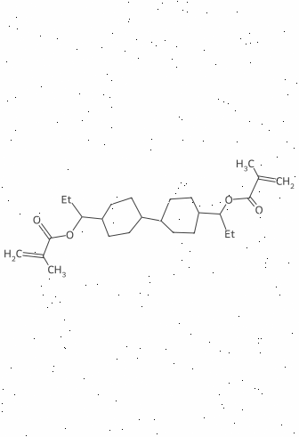 C=C(C)C(=O)OC(CC)C1CCC(C2CCC(C(CC)OC(=O)C(=C)C)CC2)CC1